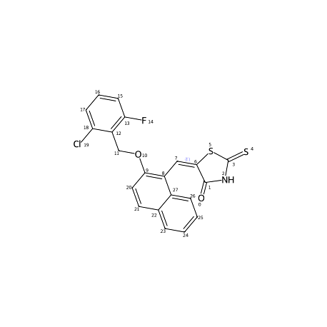 O=C1NC(=S)S/C1=C/c1c(OCc2c(F)cccc2Cl)ccc2ccccc12